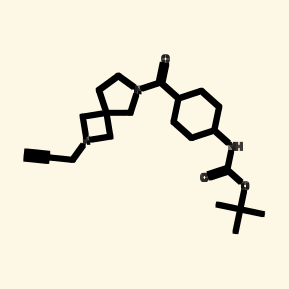 C#CCN1CC2(CCN(C(=O)C3CCC(NC(=O)OC(C)(C)C)CC3)C2)C1